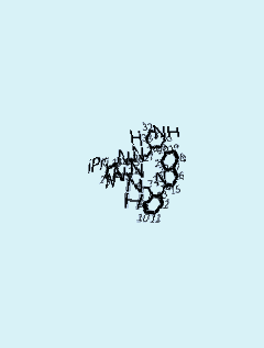 CC(C)c1cnn2c(NCc3ccccc3-c3ccc4ccccc4n3)nc(NCC3CCNCC3)nc12